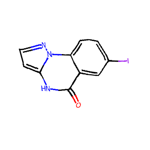 O=c1[nH]c2ccnn2c2ccc(I)cc12